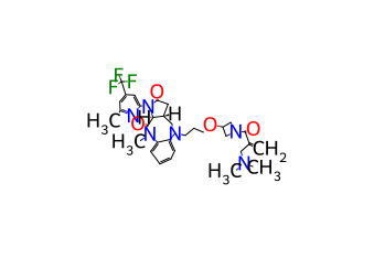 C=C(CN(C)C)C(=O)N1CC(OCCCN2C[C@H]3CC(=O)N(c4cc(C(F)(F)F)cc(C)n4)[C@@H]3C(=O)N(C)c3ccccc32)C1